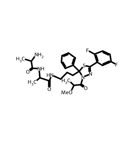 COC(C)C(=O)N1N=C(c2cc(F)ccc2F)SC1(CCCNC(=O)C(C)NC(=O)C(C)N)c1ccccc1